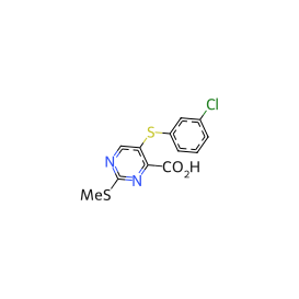 CSc1ncc(Sc2cccc(Cl)c2)c(C(=O)O)n1